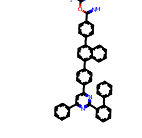 N=C(N)OC(=N)c1ccc(-c2ccc(-c3ccc(-c4cc(-c5ccccc5)nc(-c5ccccc5-c5ccccc5)n4)cc3)c3ccccc23)cc1